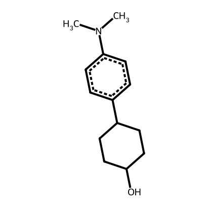 CN(C)c1ccc(C2CCC(O)CC2)cc1